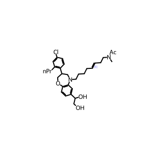 CCCc1cc(Cl)ccc1C1COc2ccc(C(O)CO)cc2N(CCCC/C=C/CCN(C)C(C)=O)C1